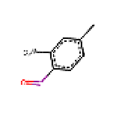 Cc1ccc(I=O)c([N+](=O)[O-])c1